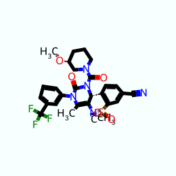 [C-]#[N+]C1=C(C)N(c2cccc(C(F)(F)F)c2)C(=O)N(C(=O)N2CCC[C@@H](OC)C2)[C@@H]1c1ccc(C#N)cc1S(C)(=O)=O